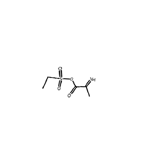 CCS(=O)(=O)OC(=O)C(C)=N